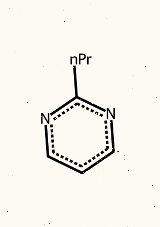 CCCc1n[c]ccn1